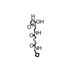 O=C(CSCC(=O)NCC1CCC1)NCCN1C(=O)CNC1O